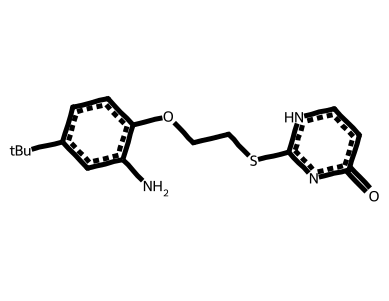 CC(C)(C)c1ccc(OCCSc2nc(=O)cc[nH]2)c(N)c1